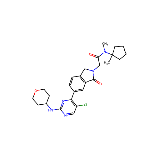 CN(C(=O)CN1Cc2ccc(-c3nc(NC4CCOCC4)ncc3Cl)cc2C1=O)C1(C)CCCC1